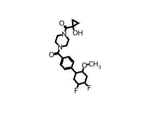 COC1CC(F)C(F)CC1c1ccc(C(=O)N2CCN(C(=O)C3(O)CC3)CC2)cc1